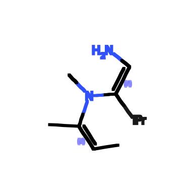 C/C=C(/C)N(C)/C(=C\N)C(C)C